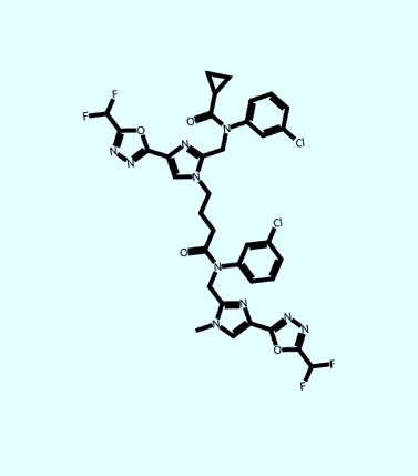 Cn1cc(-c2nnc(C(F)F)o2)nc1CN(C(=O)CCCn1cc(-c2nnc(C(F)F)o2)nc1CN(C(=O)C1CC1)c1cccc(Cl)c1)c1cccc(Cl)c1